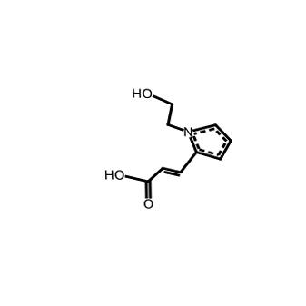 O=C(O)C=Cc1cccn1CCO